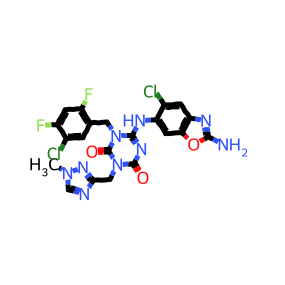 Cn1cnc(Cn2c(=O)nc(Nc3cc4oc(N)nc4cc3Cl)n(Cc3cc(Cl)c(F)cc3F)c2=O)n1